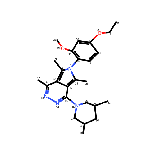 CCOc1ccc(-n2c(C)c3c(C)nnc(N4CC(C)CC(C)C4)c3c2C)c(OC)c1